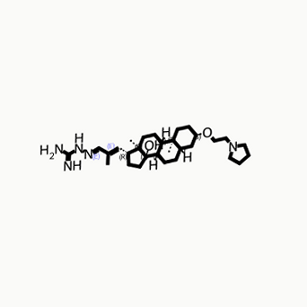 CC(/C=N/NC(=N)N)=C\[C@H]1CC[C@]2(O)[C@@H]3CC[C@@H]4C[C@@H](OCCN5CCCC5)CC[C@]4(C)[C@H]3CC[C@]12C